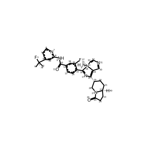 CC(F)(F)c1ccnc(NC(=O)c2ccc(C3=NC([C@@H]4CC[C@H]5CCC(=O)N5C4)=C4C=NC=C[N+]34N)c(F)c2)c1